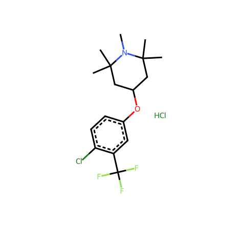 CN1C(C)(C)CC(Oc2ccc(Cl)c(C(F)(F)F)c2)CC1(C)C.Cl